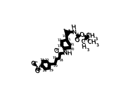 CC(C)(C)OC(=O)NC1CC1c1ccc(NC(=O)CCCc2ccc([N+](=O)[O-])cc2)cc1